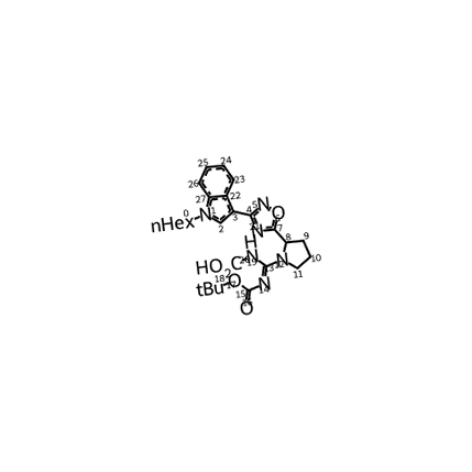 CCCCCCn1cc(-c2noc(C3CCCN3C(=NC(=O)OC(C)(C)C)NC(=O)O)n2)c2ccccc21